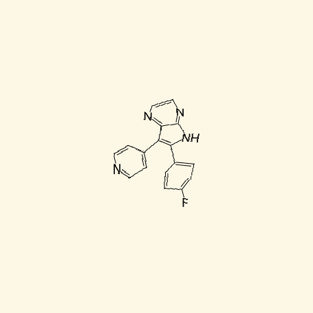 Fc1ccc(-c2[nH]c3nccnc3c2-c2ccncc2)cc1